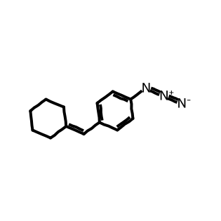 [N-]=[N+]=Nc1ccc(C=C2CCCCC2)cc1